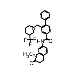 CN1C(=O)CCc2ccc(NC(=O)c3ccc(-c4ccccc4)c(CN4CCCC(C(F)(F)F)C4)c3)cc21